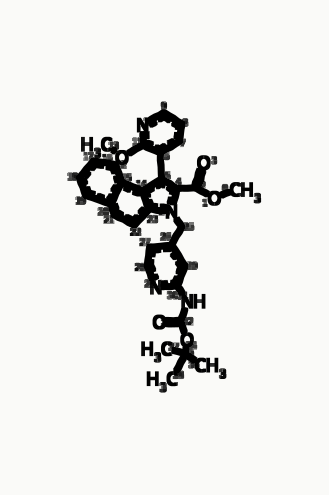 COC(=O)c1c(-c2cccnc2OC)c2c3ccccc3ccc2n1Cc1ccnc(NC(=O)OC(C)(C)C)c1